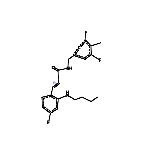 CCCCNc1cc(F)ccc1/C=C/C(=O)NCc1cc(F)c(C)c(F)c1